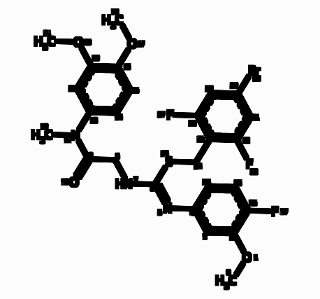 COc1cc(N=C(NCC(=O)N(C)c2ccc(OC)c(OC)c2)SCc2c(F)cc(Br)cc2F)ccc1F